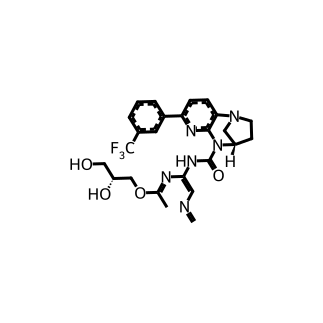 C=N/C=C(\N=C(/C)OC[C@H](O)CO)NC(=O)N1c2nc(-c3cccc(C(F)(F)F)c3)ccc2N2CC[C@H]1C2